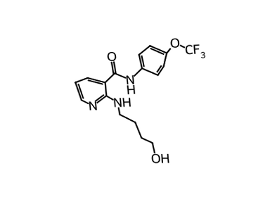 O=C(Nc1ccc(OC(F)(F)F)cc1)c1cccnc1NCCCCO